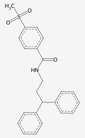 CS(=O)(=O)c1ccc(C(=O)NCCC(c2ccccc2)c2ccccc2)cc1